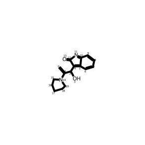 C=C(C(O)C1=c2ccccc2=NC1=O)N1CCCCC1